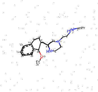 CCCNCCN1CCNC(C2CCc3ccccc3C2OCC)C1